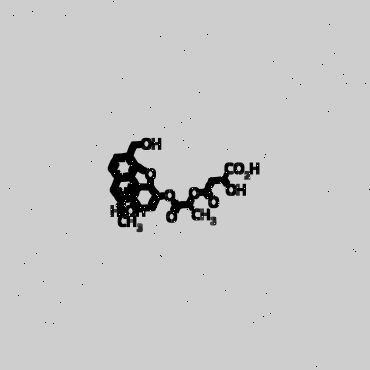 C[C@H](OC(=O)C[C@H](O)C(=O)O)C(=O)OC1=CC[C@@]2(O)[C@H]3Cc4ccc(CO)c5c4C2(CCN3C)C1O5